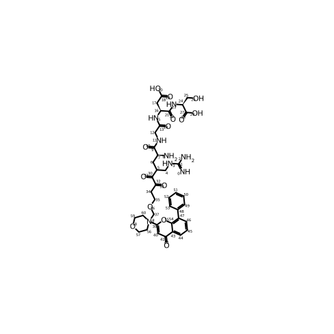 N=C(N)NCC(C[C@H](N)C(=O)NCC(=O)N[C@@H](CC(=O)O)C(=O)N[C@@H](CO)C(=O)O)C(=O)C(=O)CCOC[N+]1(c2cc(=O)c3cccc(-c4ccccc4)c3o2)CCOCC1